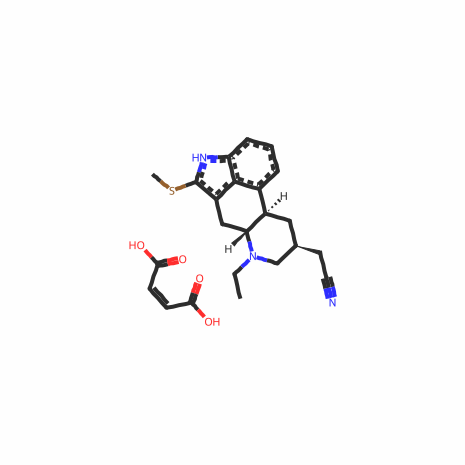 CCN1C[C@H](CC#N)C[C@@H]2c3cccc4[nH]c(SC)c(c34)C[C@H]21.O=C(O)/C=C\C(=O)O